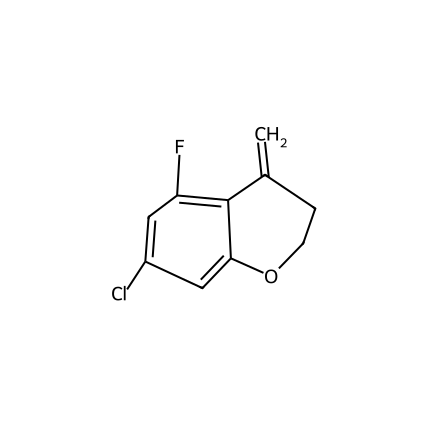 C=C1CCOc2cc(Cl)cc(F)c21